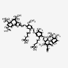 COc1cc(N=Nc2cc(OCCCS(=O)(=O)O)c(N=Nc3c(C)c(C#N)c4nc5ccc(C)c(S(=O)(=O)O)c5n4c3O)cc2C)c(SCCCS(=O)(=O)O)cc1N=Nc1nc2c(S(=O)(=O)O)cc3c(S(=O)(=O)O)cc(S(=O)(=O)O)cc3c2s1